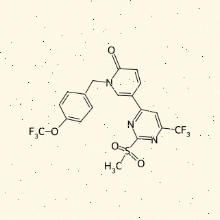 CS(=O)(=O)c1nc(-c2ccc(=O)n(Cc3ccc(OC(F)(F)F)cc3)c2)cc(C(F)(F)F)n1